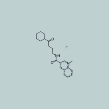 C[n+]1cc(C(=O)NCCCC(=O)C2CCCCC2)cc2ccccc21.[I-]